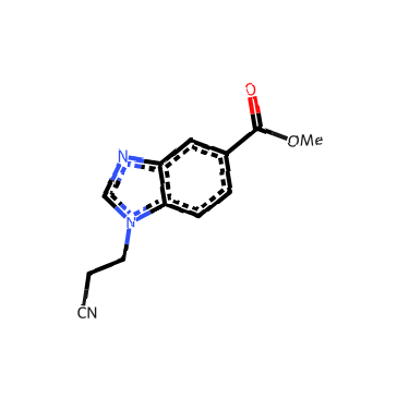 COC(=O)c1ccc2c(c1)ncn2CCC#N